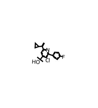 C=C(c1cc(C(C)(C)O)c(Cl)c(-c2ccc(F)cc2)n1)C1CC1